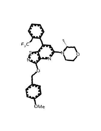 COc1ccc(COc2nsc3c(-c4ccccc4C(F)(F)F)cc(N4CCOC[C@H]4C)nc23)cc1